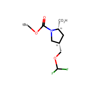 CC(C)(C)OC(=O)N1C[C@@H](COC(F)F)C[C@H]1C(=O)O